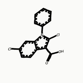 O=C(O)c1c(Cl)n(-c2ccccc2)c2cc(Cl)ccc12